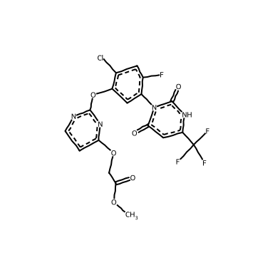 COC(=O)COc1ccnc(Oc2cc(-n3c(=O)cc(C(F)(F)F)[nH]c3=O)c(F)cc2Cl)n1